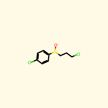 [O-][S+](CCCCl)c1ccc(Cl)cc1